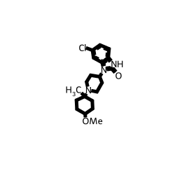 COC1CCC(C)(N2CCC(n3c(=O)[nH]c4ccc(Cl)cc43)CC2)CC1